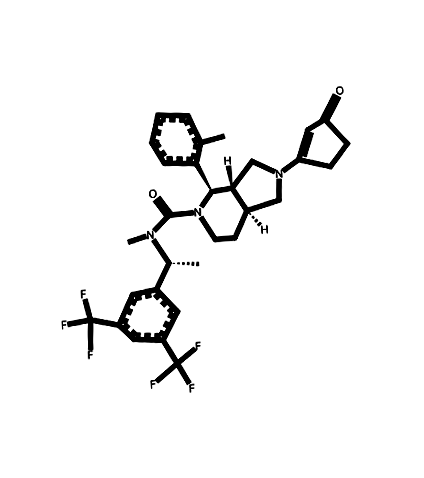 Cc1ccccc1[C@H]1[C@@H]2CN(C3=CC(=O)CC3)C[C@H]2CCN1C(=O)N(C)[C@H](C)c1cc(C(F)(F)F)cc(C(F)(F)F)c1